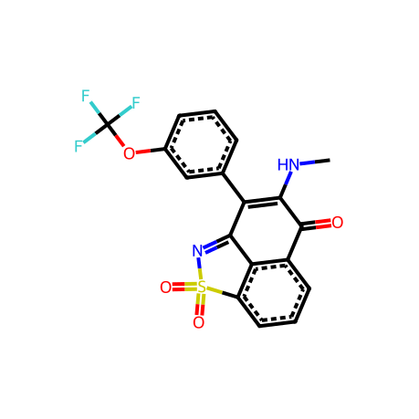 CNC1=C(c2cccc(OC(F)(F)F)c2)C2=NS(=O)(=O)c3cccc(c32)C1=O